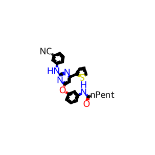 CCCCCC(=O)Nc1cccc(Oc2cc(-c3cccs3)nc(Nc3cccc(C#N)c3)n2)c1